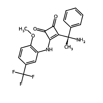 COc1ccc(C(F)(F)F)cc1Nc1c([C@@](C)(N)c2ccccc2)c(=O)c1=O